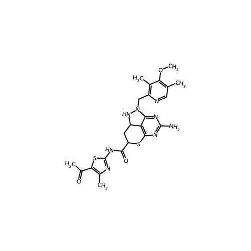 COc1c(C)cnc(CN2NC3CC(C(=O)Nc4nc(C)c(C(C)=O)s4)Sc4nc(N)nc2c43)c1C